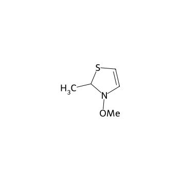 CON1C=CSC1C